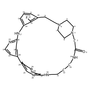 O=C1CN2CCN(CC2)Cc2cccc(c2F)Nc2cc(ccn2)-c2cnc(nc2)NCCCN1